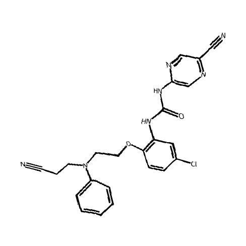 N#CCCN(CCOc1ccc(Cl)cc1NC(=O)Nc1cnc(C#N)cn1)c1ccccc1